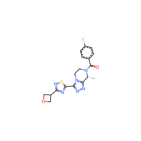 C[C@@H]1c2nnc(-c3nc(C4COC4)ns3)n2CCN1C(=O)c1ccc(F)cc1